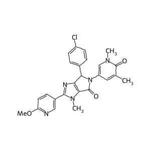 COc1ccc(-c2nc3c(n2C)C(=O)N(c2cc(C)c(=O)n(C)c2)C3c2ccc(Cl)cc2)cn1